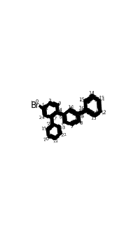 Brc1ccc(-c2cccc(-c3ccccc3)c2)c(-c2ccccc2)c1